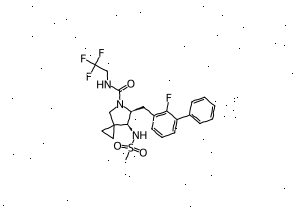 CS(=O)(=O)N[C@@H]1[C@H](Cc2cccc(-c3ccccc3)c2F)N(C(=O)NCC(F)(F)F)CC12CC2